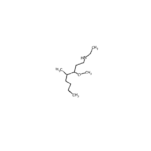 CCCCC(C)C(CCNCC)OC